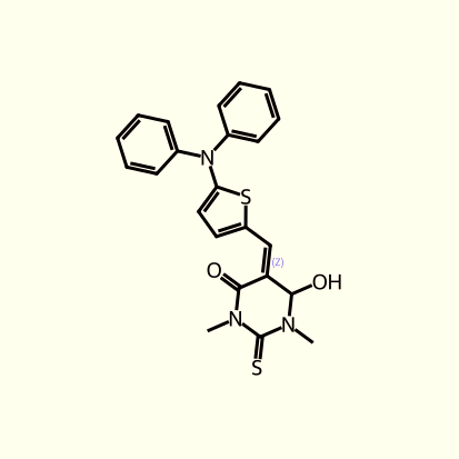 CN1C(=O)/C(=C\c2ccc(N(c3ccccc3)c3ccccc3)s2)C(O)N(C)C1=S